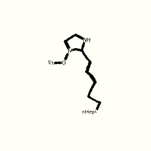 CCCCCCCCCCCCC1NCCN1OCC